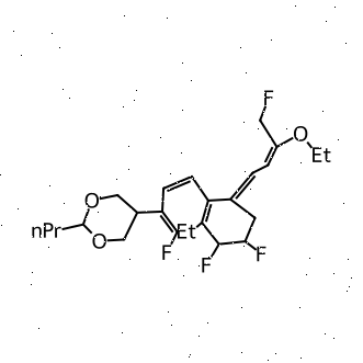 CCCC1OCC(C(/C=C\C2=C(CC)C(F)C(F)C/C2=C\C=C(/CF)OCC)=C\F)CO1